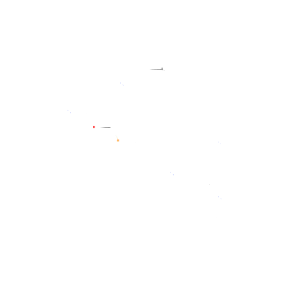 Fc1cccc(F)c1N1c2cc3c(cc2B2c4ccccc4N(c4ccccc4)c4cc(N(c5ccccc5)c5ccccc5)cc1c42)B1c2ccccc2N(c2ccccc2-c2ccccc2)c2cc(N(c4ccccc4)c4ccccc4-c4ccccc4)cc(c21)S3